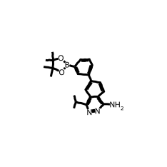 CC(C)c1nnc(N)c2ccc(-c3cccc(B4OC(C)(C)C(C)(C)O4)c3)cc12